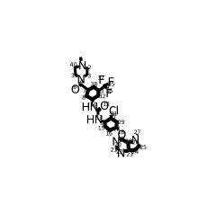 CN1CCN(C(=O)c2cc(NC(=O)Nc3ccc(Oc4ncnc5ccn(C)c45)cc3Cl)cc(C(F)(F)F)c2)CC1